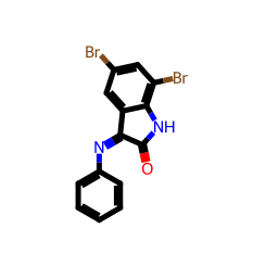 O=C1Nc2c(Br)cc(Br)cc2/C1=N/c1ccccc1